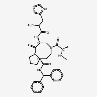 CN[C@H](C)C(=O)N1CC[C@]2(C(=O)NC(c3ccccc3)c3ccccc3)CCCN2C(=O)[C@@H](NC(=O)C(N)Cc2cnc[nH]2)C1